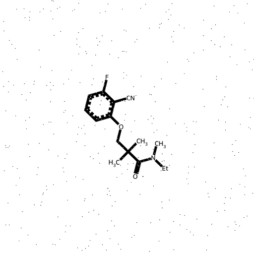 CCN(C)C(=O)C(C)(C)COc1cccc(F)c1C#N